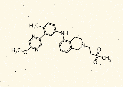 COc1cnc(-c2cc(Nc3cccc4c3CCN(CCS(C)(=O)=O)C4)ccc2C)cn1